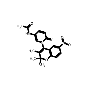 CC(=O)Nc1ccc(=O)n(C2=C(C)C(C)(C)Oc3ccc([N+](=O)[O-])cc32)c1